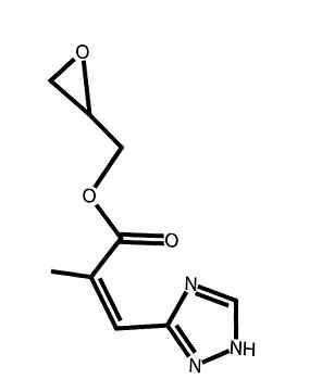 CC(=Cc1nc[nH]n1)C(=O)OCC1CO1